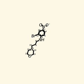 O=[N+]([O-])c1ccc(NCCCN2CCOCC2)c(Br)c1